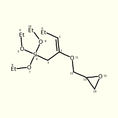 CCC=C(C[Si](OCC)(OCC)OCC)OCC1CO1